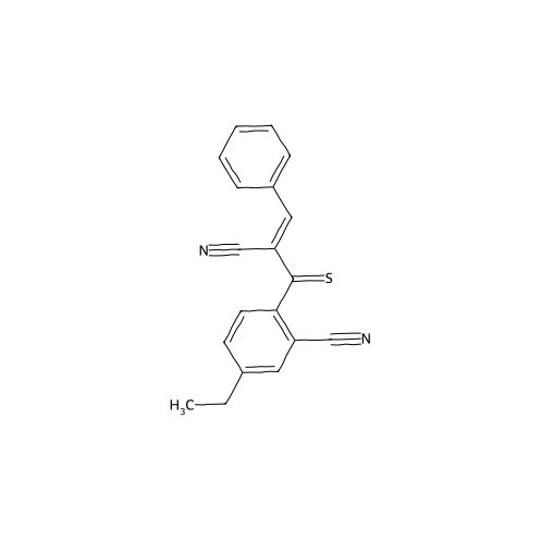 CCc1ccc(C(=S)C(C#N)=Cc2ccccc2)c(C#N)c1